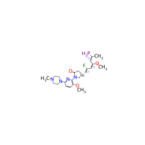 COC(/C=C(\C)P)=C/C(F)=C/[C@H]1CC(=O)N(c2nc(N3CCN(C)CC3)ccc2OC)C1